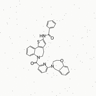 O=C(Nc1cc2c(s1)-c1ccccc1N(C(=O)c1cccc(N3CCOc4ccccc4C3)n1)CC2)c1ccccc1